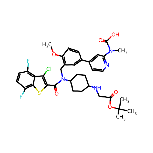 COc1ccc(-c2ccnc(N(C)C(=O)O)c2)cc1CN(C(=O)c1sc2c(F)ccc(F)c2c1Cl)C1CCC(NCC(=O)OC(C)(C)C)CC1